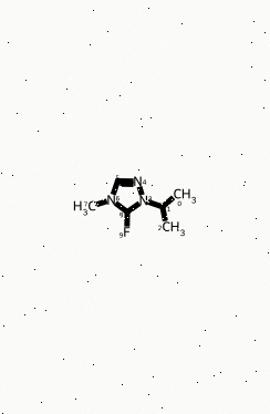 CC(C)N1N=CN(C)C1F